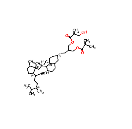 C#CC(CC[C@@H](C)C(C)C)[C@H]1CCC(C)[C@]1(C)CCC1CCCC2C[C@@H](CCC(COC(=O)C(=C)C)COC(=O)C(=C)CO)CC[C@]12C